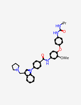 COc1cc(NC(=O)c2ccc(-n3cc(CN4CCCC4)c4ccccc43)cc2)ccc1Oc1ccc(NC(=O)NC(C)C)cc1